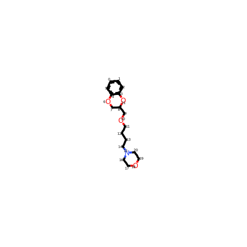 c1ccc2c(c1)OCC(COCCCCN1CCOCC1)O2